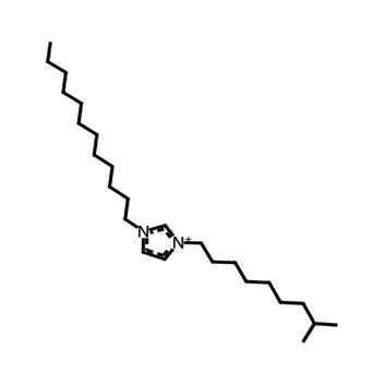 CCCCCCCCCCCCn1cc[n+](CCCCCCCC(C)C)c1